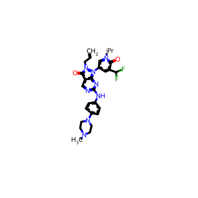 C=CCn1c(=O)c2cnc(Nc3ccc(N4CCN(C)CC4)cc3)nc2n1-c1cc(C(F)F)c(=O)n(C(C)C)c1